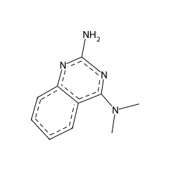 CN(C)c1nc(N)nc2ccccc12